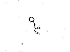 C=CC(O)C=Cc1ccccc1